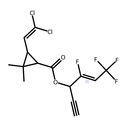 C#CC(OC(=O)C1C(C=C(Cl)Cl)C1(C)C)/C(F)=C/C(F)(F)F